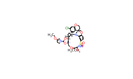 CCO[C@@H]1CCN(C(=O)O[C@H]2/C=C/COC(C)(C)C(=O)NS(=O)(=O)c3ccc4c(c3)N(C[C@@H]3CC[C@H]32)C[C@@]2(CCOc3cc(Cl)ccc32)CO4)C1